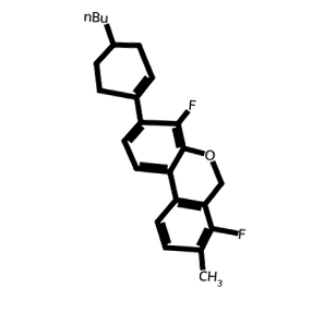 CCCCC1CC=C(c2ccc3c(c2F)OCc2c-3ccc(C)c2F)CC1